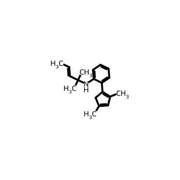 CC=CC(C)(C)Nc1ccccc1C1=C(C)C=C(C)C1